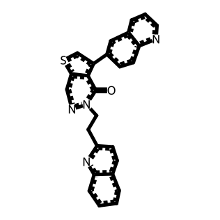 O=c1c2c(-c3ccc4ncccc4c3)csc2cnn1CCc1ccc2ccccc2n1